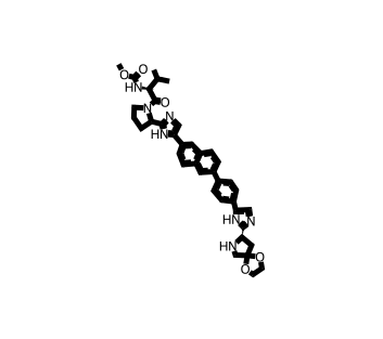 COC(=O)N[C@H](C(=O)N1CCCC1c1ncc(-c2ccc3cc(-c4ccc(-c5cnc([C@@H]6CC7(CN6)OCCO7)[nH]5)cc4)ccc3c2)[nH]1)C(C)C